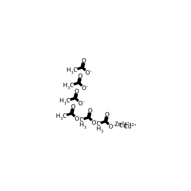 CC(=O)[O-].CC(=O)[O-].CC(=O)[O-].CC(=O)[O-].CC(=O)[O-].CC(=O)[O-].[Cd+2].[Cd+2].[Zn+2]